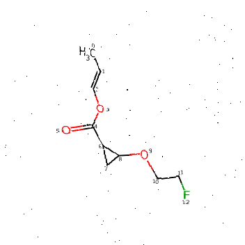 CC=COC(=O)C1CC1OCCF